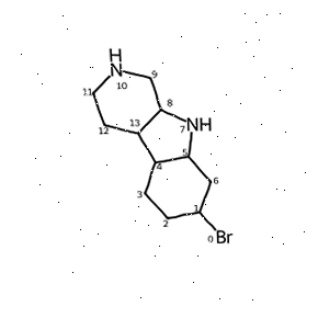 BrC1CCC2C(C1)NC1CNCCC12